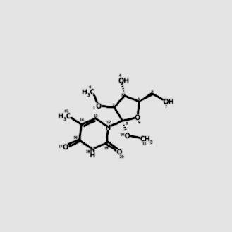 COC1[C@H](O)[C@@H](CO)O[C@@]1(OC)n1cc(C)c(=O)[nH]c1=O